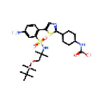 CC(C)(CO[Si](C)(C)C(C)(C)C)NS(=O)(=O)c1cc(N)ccc1-c1cnc(C2CCC(NC(=O)O)CC2)s1